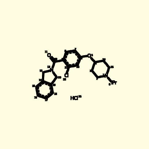 CC(C)N1CCC(Oc2ccc(C(=O)N3Cc4ccccc4C3)c(Cl)c2)CC1.Cl